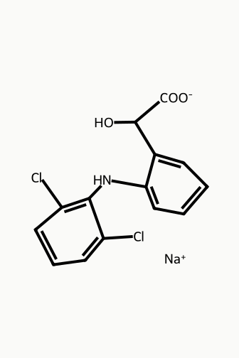 O=C([O-])C(O)c1ccccc1Nc1c(Cl)cccc1Cl.[Na+]